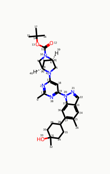 Cc1nc(N2C[C@H]3C[C@@H]2CN3C(=O)OC(C)(C)C)cc(-n2ncc3cc(C)c(C4CCC(C)(O)CC4)cc32)n1